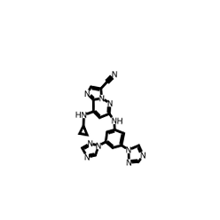 N#Cc1cnc2c(NC3CC3)cc(Nc3cc(-n4cncn4)cc(-n4cncn4)c3)nn12